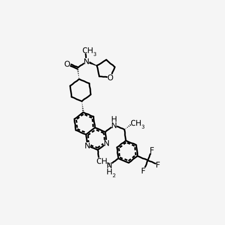 Cc1nc(N[C@H](C)c2cc(N)cc(C(F)(F)F)c2)c2cc([C@H]3CC[C@@H](C(=O)N(C)[C@H]4CCOC4)CC3)ccc2n1